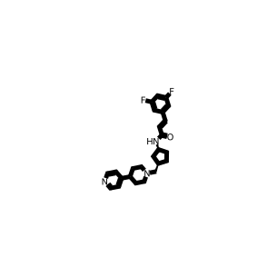 O=C(/C=C/c1cc(F)cc(F)c1)N[C@H]1CC[C@@H](CN2CCC(c3ccncc3)CC2)C1